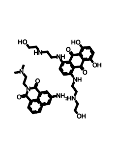 CN(C)CCN1C(=O)c2cccc3cc(N)cc(c23)C1=O.O=C1c2c(O)ccc(O)c2C(=O)c2c(NCCNCCO)ccc(NCCNCCO)c21